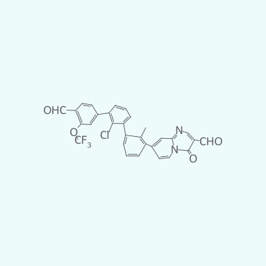 Cc1c(-c2ccn3c(=O)c(C=O)cnc3c2)cccc1-c1cccc(-c2ccc(C=O)c(OC(F)(F)F)c2)c1Cl